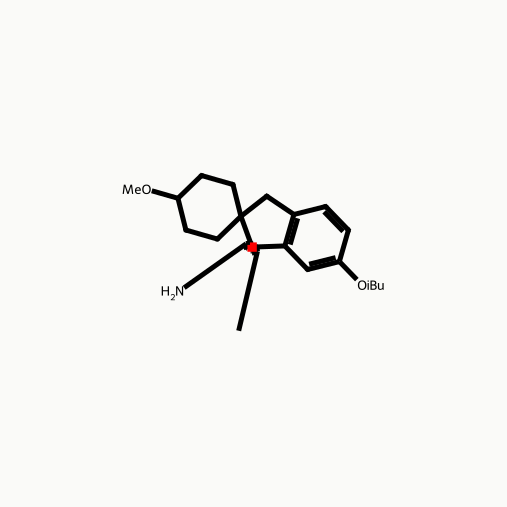 COC1CCC2(CC1)Cc1ccc(OCC(C)C)cc1C21N=C(C)C(N)=N1